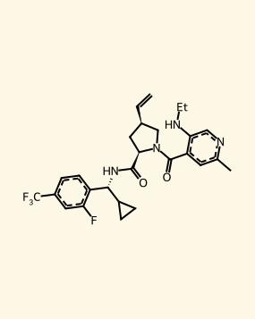 C=C[C@@H]1C[C@H](C(=O)N[C@@H](c2ccc(C(F)(F)F)cc2F)C2CC2)N(C(=O)c2cc(C)ncc2NCC)C1